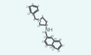 c1ccc(CN2CC[C@@H](NCc3ccc4ccccc4c3)C2)cc1